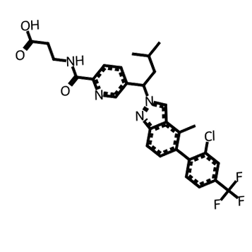 Cc1c(-c2ccc(C(F)(F)F)cc2Cl)ccc2nn(C(CC(C)C)c3ccc(C(=O)NCCC(=O)O)nc3)cc12